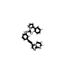 O=C(Nc1cccc(C#Cc2cnc3ncccn23)c1)N1N=CCC1c1ccccc1